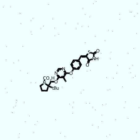 Cc1c(OCC2(C(C)(C)C)CCCN2C(=O)O)ncnc1Oc1ccc(C=C2SC(=O)NC2=O)cc1